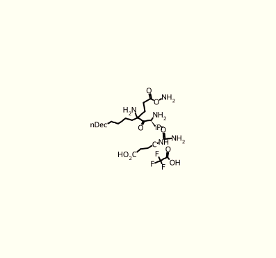 CCCCCCCCCCCCCCC(N)(CCC(=O)ON)C(=O)[C@@H](N)C(C)C.NC(=O)NCCCC(=O)O.O=C(O)C(F)(F)F